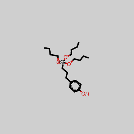 CCCCO[Si](CCCc1ccc(O)cc1)(OCCCC)OCCCC